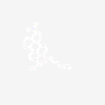 CCCCOC(=O)c1ccc2c3ccc([N+](=O)[O-])c4cccc(c5ccc(C(=O)O)c1c52)c43